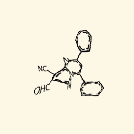 N#Cc1c(C=O)nn2c(-c3ccccc3)cc(-c3ccccc3)nc12